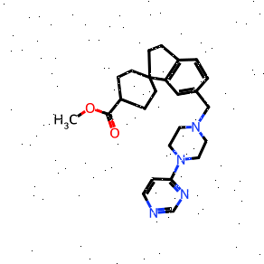 COC(=O)C1CCC2(CCc3ccc(CN4CCN(c5ccncn5)CC4)cc32)CC1